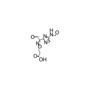 O=[C]/C(=N/OCCC(=O)O)c1nsc(NC=O)n1